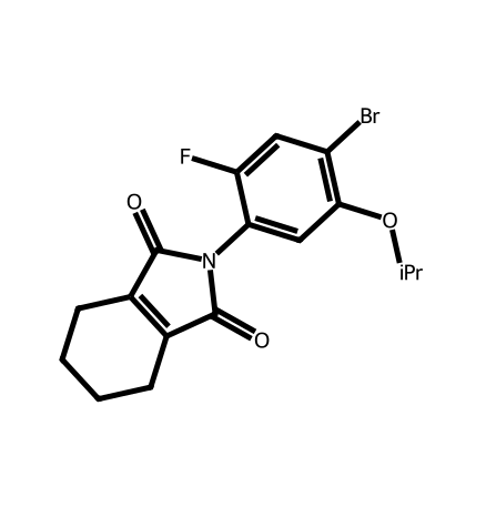 CC(C)Oc1cc(N2C(=O)C3=C(CCCC3)C2=O)c(F)cc1Br